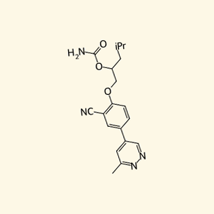 Cc1cc(-c2ccc(OCC(CC(C)C)OC(N)=O)c(C#N)c2)cnn1